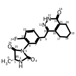 C[C@H]1NC(=O)N(c2cc(Cc3n[nH]c(=O)c4c3CCCC4)ccc2F)C1=O